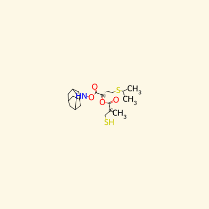 CC(C)SCC[C@H](OC(=O)[C@H](C)CS)C(=O)ONC12CC3CC(CC(C3)C1)C2